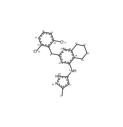 Cc1cc(Nc2nc(Cc3c(Cl)cccc3Cl)nc3c2CCCC3)[nH]n1